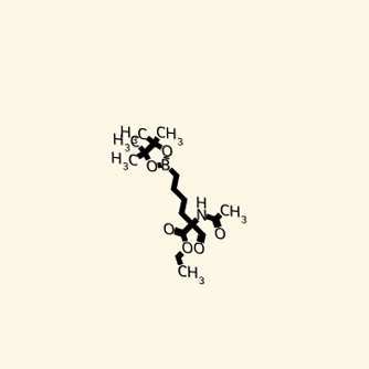 CCOC(=O)C(C=O)(CCCCB1OC(C)(C)C(C)(C)O1)NC(C)=O